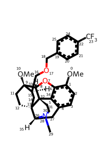 COc1ccc2c3c1O[C@H]1[C@@]4(OC)CC[C@@]5(C[C@@H]4COCc4ccc(C(F)(F)F)cc4)[C@@H](C2)N(C)CC[C@]315